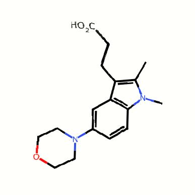 Cc1c(CCC(=O)O)c2cc(N3CCOCC3)ccc2n1C